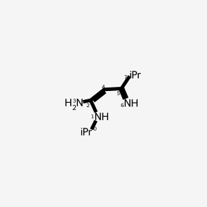 CC(C)N/C(N)=C\C(=N)C(C)C